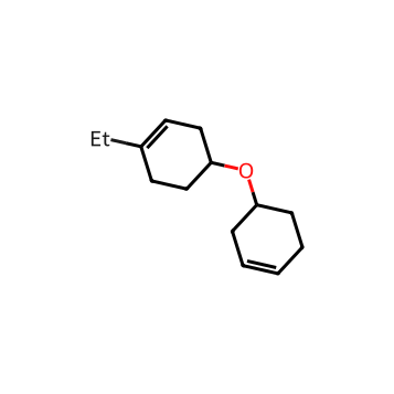 CCC1=CCC(OC2CC=CCC2)CC1